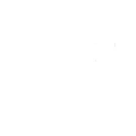 C=C(COS(=O)(=O)O)c1cccc2ccccc12